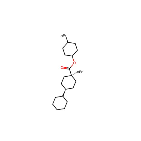 CCCC1CCC(OC(=O)[C@]2(CCC)CC[C@H](C3CCCCC3)CC2)CC1